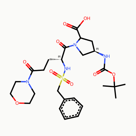 CC(C)(C)OC(=O)N[C@@H]1CC(C(=O)O)N(C(=O)[C@@H](CCC(=O)N2CCOCC2)NS(=O)(=O)Cc2ccccc2)C1